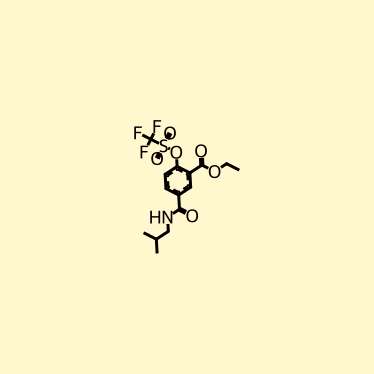 CCOC(=O)c1cc(C(=O)NCC(C)C)ccc1OS(=O)(=O)C(F)(F)F